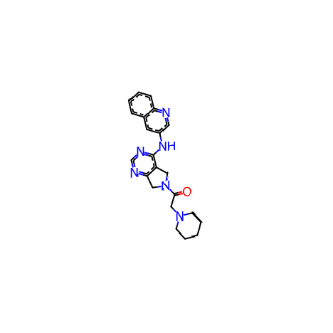 O=C(CN1CCCCC1)N1Cc2ncnc(Nc3cnc4ccccc4c3)c2C1